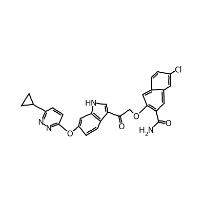 NC(=O)c1cc2cc(Cl)ccc2cc1OCC(=O)c1c[nH]c2cc(Oc3ccc(C4CC4)nn3)ccc12